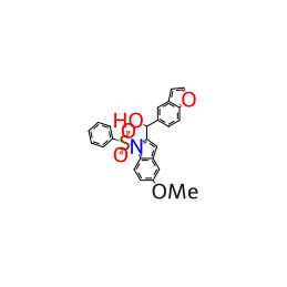 COc1ccc2c(c1)cc(C(O)c1ccc3occc3c1)n2S(=O)(=O)c1ccccc1